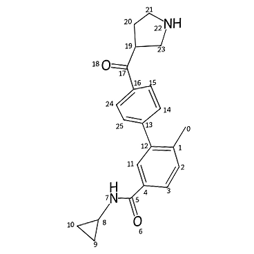 Cc1ccc(C(=O)NC2CC2)cc1-c1ccc(C(=O)C2CCNC2)cc1